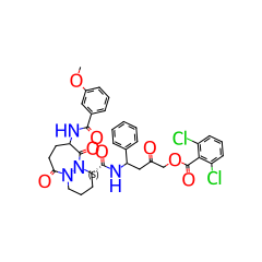 COc1cccc(C(=O)NC2CCC(=O)N3CCC[C@@H](C(=O)NC(CC(=O)COC(=O)c4c(Cl)cccc4Cl)c4ccccc4)N3C2=O)c1